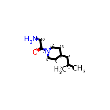 CC(C)CC1CCN(C(=O)CN)CC1